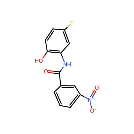 O=C(Nc1cc(F)ccc1O)c1cccc([N+](=O)[O-])c1